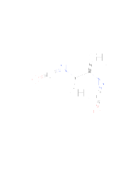 C=C(N=C=O)C(C)N=C=O